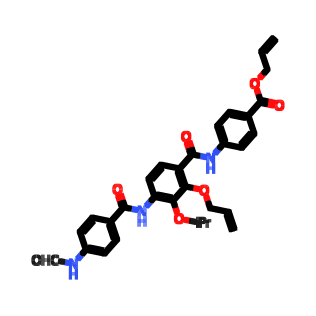 C=CCOC(=O)c1ccc(NC(=O)c2ccc(NC(=O)c3ccc(NC=O)cc3)c(OC(C)C)c2OCC=C)cc1